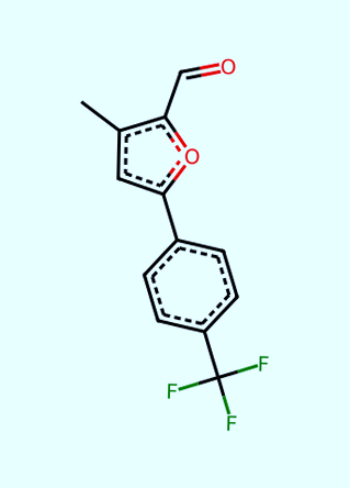 Cc1cc(-c2ccc(C(F)(F)F)cc2)oc1C=O